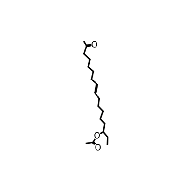 CCC(CCCCC/C=C/CCCCCC(C)=O)OC(C)=O